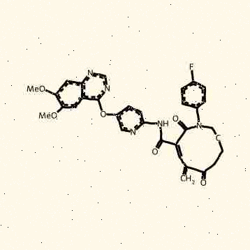 C=C1/C=C(/C(=O)Nc2ccc(Oc3ncnc4cc(OC)c(OC)cc34)cn2)C(=O)N(c2ccc(F)cc2)CCCCC1=O